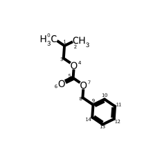 CC(C)COC(=O)OCc1ccccc1